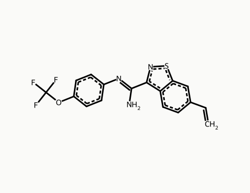 C=Cc1ccc2c(/C(N)=N/c3ccc(OC(F)(F)F)cc3)nsc2c1